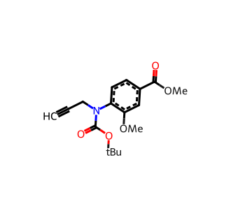 C#CCN(C(=O)OC(C)(C)C)c1ccc(C(=O)OC)cc1OC